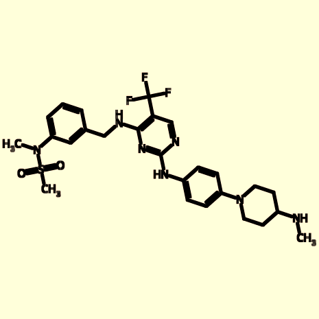 CNC1CCN(c2ccc(Nc3ncc(C(F)(F)F)c(NCc4cccc(N(C)S(C)(=O)=O)c4)n3)cc2)CC1